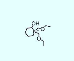 CCOC[N+]1(COCC)CCCCC1O